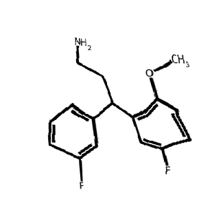 COc1ccc(F)cc1C(CCN)c1cccc(F)c1